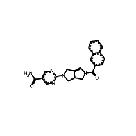 NC(=O)c1cnc(N2CC3=CN(C(=O)c4ccc5ccccc5c4)CC3C2)nc1